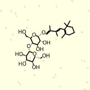 CC1=C(/C=C(C)/C(C)=C/O[C@H]2O[C@H](CO)[C@@H](O[C@@H]3O[C@H](CO)[C@@H](O)[C@H](O)[C@H]3O)[C@H](O)[C@H]2O)C(C)(C)CCC1